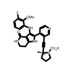 COc1c(F)cccc1Nc1c(-c2ccncc2C#C[C@@]2(C)CCCN2C(=O)O)[nH]c2c1C(=O)NCC2